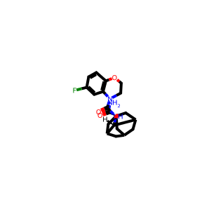 NC(=O)[C@]12CC3CC(C1)[C@@H](NC(=O)N1CCOc4ccc(F)cc41)C(C3)C2